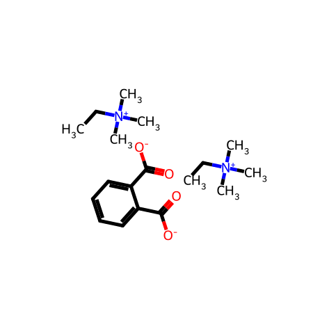 CC[N+](C)(C)C.CC[N+](C)(C)C.O=C([O-])c1ccccc1C(=O)[O-]